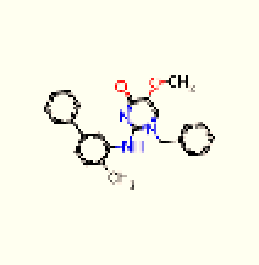 COc1cn(Cc2ccccc2)c(Nc2cc(-c3ccccc3)ccc2C)nc1=O